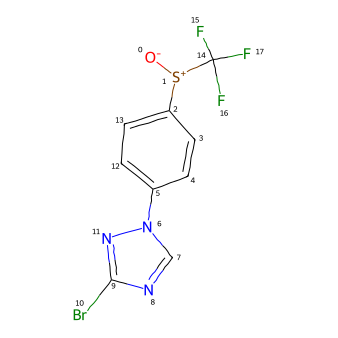 [O-][S+](c1ccc(-n2cnc(Br)n2)cc1)C(F)(F)F